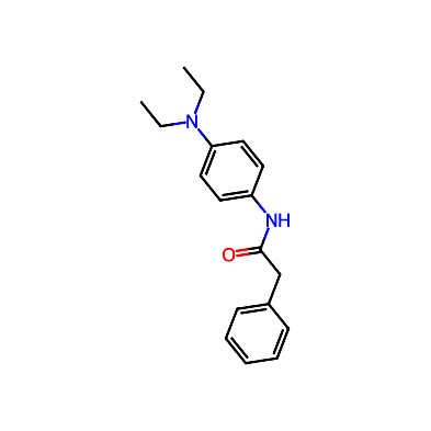 CCN(CC)c1ccc(NC(=O)Cc2ccccc2)cc1